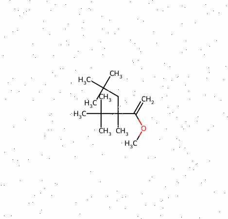 C=C(OC)C(C)(CC(C)(C)C)C(C)(C)C